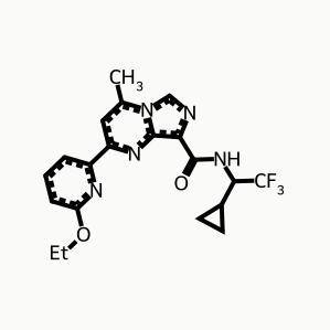 CCOc1cccc(-c2cc(C)n3cnc(C(=O)NC(C4CC4)C(F)(F)F)c3n2)n1